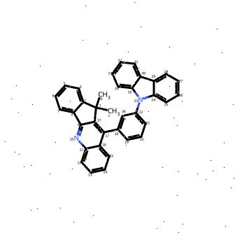 CC1(C)c2ccccc2-c2nc3ccccc3c(-c3cccc(-n4c5ccccc5c5ccccc54)c3)c21